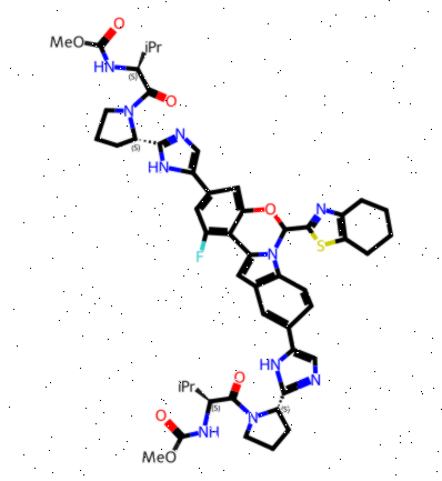 COC(=O)N[C@H](C(=O)N1CCC[C@H]1c1ncc(-c2cc(F)c3c(c2)OC(c2nc4c(s2)CCCC4)n2c-3cc3cc(-c4cnc([C@@H]5CCCN5C(=O)[C@@H](NC(=O)OC)C(C)C)[nH]4)ccc32)[nH]1)C(C)C